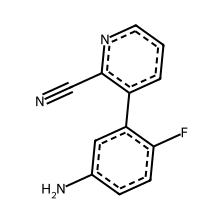 N#Cc1ncccc1-c1cc(N)ccc1F